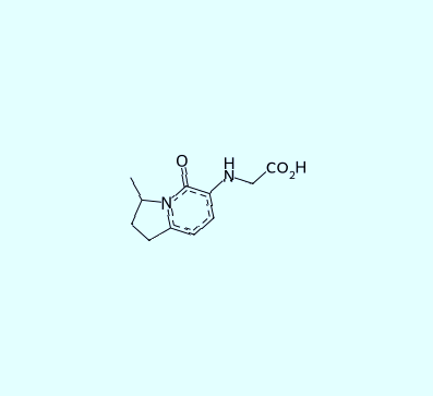 CC1CCc2ccc(NCC(=O)O)c(=O)n21